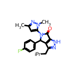 Cc1cc(N2C(=O)c3[nH]nc(CC(C)C)c3C2c2ccc(F)cc2)n(C)n1